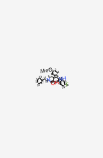 COc1cccc(C23CCN(CCc4ccccc4)CC2(O)Cc2c([nH]c4cc(F)ccc24)C3)c1